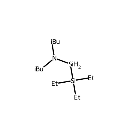 CCC(C)N([SiH2][Si](CC)(CC)CC)C(C)CC